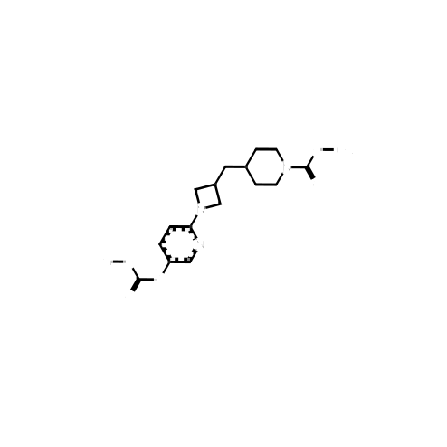 CC(C)(C)OC(=O)Oc1ccc(N2CC(CC3CCN(C(=O)OC(C)(C)C)CC3)C2)nc1